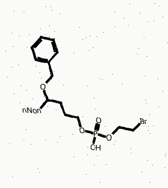 CCCCCCCCCC(CCCOP(=O)(O)OCCBr)OCc1ccccc1